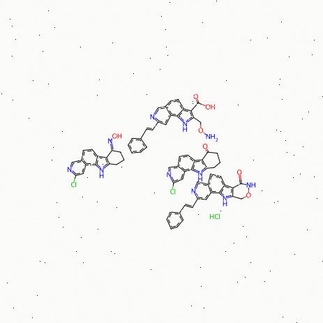 Cl.NOCc1[nH]c2c(ccc3cnc(C=Cc4ccccc4)cc32)c1C(=O)O.O=C1CCCc2[nH]c3c(ccc4cnc(Cl)cc43)c21.O=C1NOCc2[nH]c3c(ccc4cnc(C=Cc5ccccc5)cc43)c21.ON=C1CCCc2[nH]c3c(ccc4cnc(Cl)cc43)c21